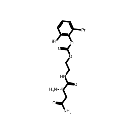 CC(C)c1cccc(C(C)C)c1OC(=O)OCCNC(=O)[C@@H](N)CC(N)=O